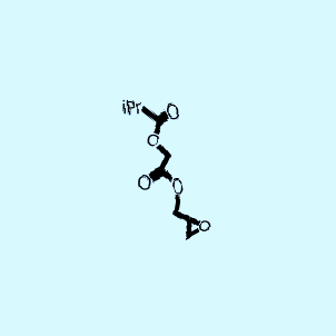 CC(C)C(=O)OCC(=O)OCC1CO1